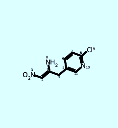 N/C(=C\[N+](=O)[O-])Cc1ccc(Cl)nc1